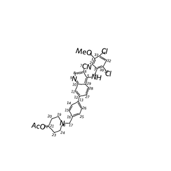 COc1cc(Nc2c(C#N)cnc3cc(-c4ccc(CN5CCC(OC(C)=O)CC5)cc4)ccc23)c(Cl)cc1Cl